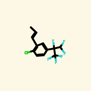 CC=Cc1cc(C(F)(C(F)F)C(F)(F)F)ccc1Cl